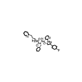 O=C(NCCCc1ccccn1)C(=O)[C@@H](Cc1ccccc1)NC(=O)c1cccnc1-n1ccc(-c2ccc(F)cc2)n1